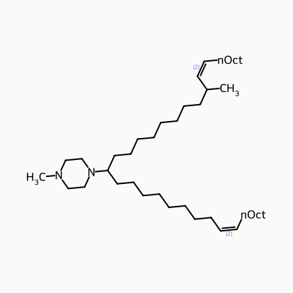 CCCCCCCC/C=C\CCCCCCCCC(CCCCCCCCC(C)/C=C\CCCCCCCC)N1CCN(C)CC1